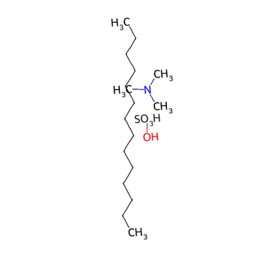 CCCCCCCCCCCCCC.CN(C)C.O=S(=O)(O)O